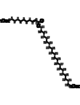 CCCCCCCCCCCCCCCCCC=CC(=O)OCCCCCCCCCCCCCCCCCCCCCCCCCCCCCCCC